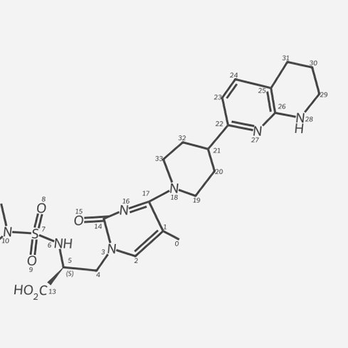 Cc1cn(C[C@H](NS(=O)(=O)N(C)C)C(=O)O)c(=O)nc1N1CCC(c2ccc3c(n2)NCCC3)CC1